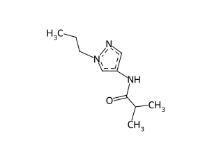 CCCn1cc(NC(=O)C(C)C)cn1